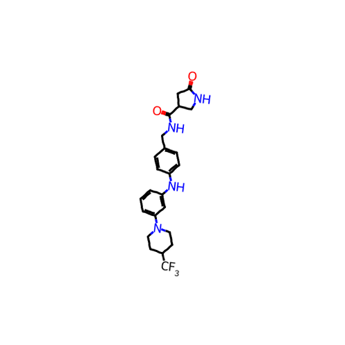 O=C1CC(C(=O)NCc2ccc(Nc3cccc(N4CCC(C(F)(F)F)CC4)c3)cc2)CN1